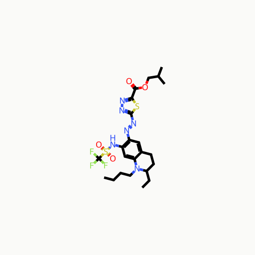 CCCCN1c2cc(NS(=O)(=O)C(F)(F)F)c(N=Nc3nnc(C(=O)OCC(C)C)s3)cc2CCC1CC